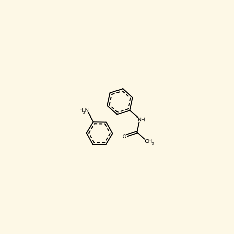 CC(=O)Nc1ccccc1.Nc1ccccc1